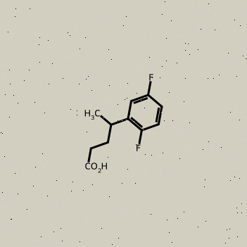 CC(CCC(=O)O)c1cc(F)ccc1F